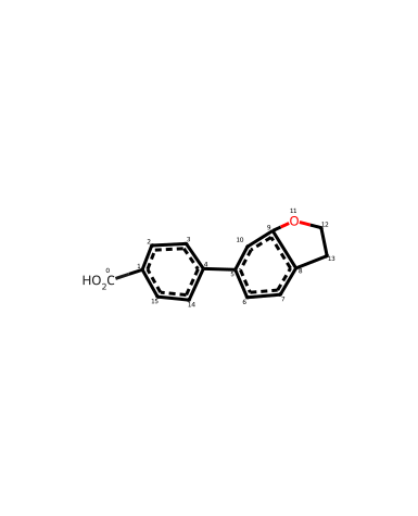 O=C(O)c1ccc(-c2ccc3c(c2)OCC3)cc1